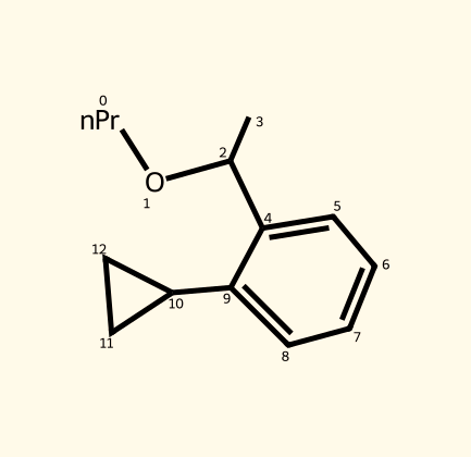 CCCOC(C)c1ccccc1C1CC1